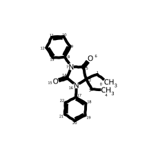 CCC1(CC)C(=O)N(c2ccccc2)C(=O)N1c1ccccc1